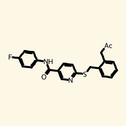 CC(=O)Cc1ccccc1CSc1ccc(C(=O)Nc2ccc(F)cc2)cn1